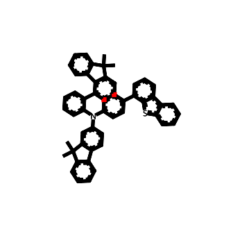 CC1(C)c2ccccc2-c2ccc(N(c3ccc(-c4cccc5c4sc4ccccc45)cc3)c3ccccc3-c3cccc4c3-c3ccccc3C4(C)C)cc21